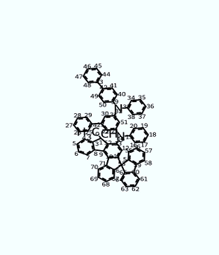 CC1(C)c2ccccc2-c2c3c(cc(N(c4ccccc4)c4cc(-c5ccccc5)cc(N(c5ccccc5)c5ccc(-c6ccccc6)cc5)c4)c21)C1(c2ccccc2-c2ccccc21)c1ccccc1-3